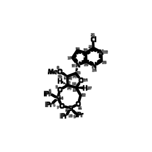 CO[C@@H]1[C@@H]2O[Si](C(C)C)(C(C)C)O[Si](C(C)C)(C(C)C)OC[C@H]2O[C@H]1n1ccc2c(Cl)ncnc21